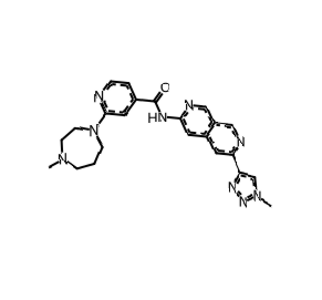 CN1CCCN(c2cc(C(=O)Nc3cc4cc(-c5cn(C)nn5)ncc4cn3)ccn2)CC1